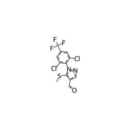 CSc1c(C=O)cnn1-c1c(Cl)cc(C(F)(F)F)cc1Cl